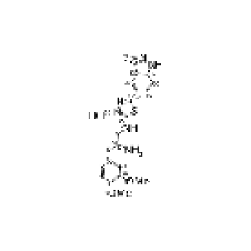 COc1ccc(C[C@H](N)CNc2nnc(-c3ccc4[nH]nc(C)c4c3)s2)cc1OC.Cl